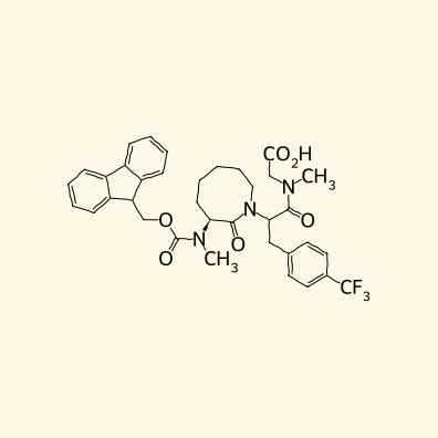 CN(CC(=O)O)C(=O)C(Cc1ccc(C(F)(F)F)cc1)N1CCCCC[C@H](N(C)C(=O)OCC2c3ccccc3-c3ccccc32)C1=O